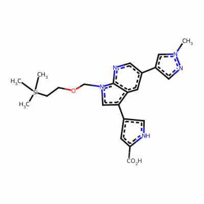 Cn1cc(-c2cnc3c(c2)c(-c2c[nH]c(C(=O)O)c2)cn3COCC[Si](C)(C)C)cn1